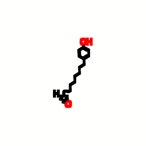 C1CO1.CCCCCCCCc1ccc(O)cc1